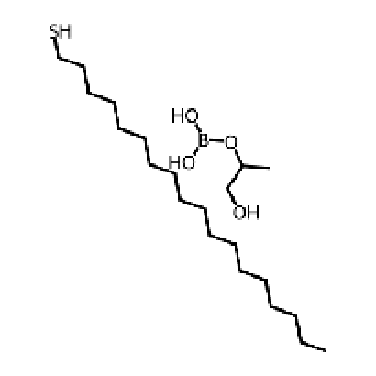 CC(CO)OB(O)O.CCCCCCCCCCCCCCCCCCS